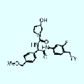 COCc1ccc([C@@H](NC(=O)N2CCC(O)C2)C(=O)Nc2ccc(CC(C)C)c(F)c2)cc1